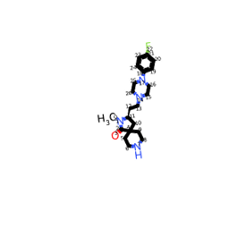 CN1C(=O)C2(CCNCC2)C[C@@H]1CCN1CCN(c2ccc(F)cc2)CC1